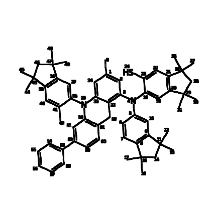 Cc1cc(N(c2ccc3c(c2)C(C)(C)CC3(C)C)c2cc3c(cc2S)C(C)(C)CC3(C)C)c2c(c1)N(c1cc3c(cc1C)C(C)(C)CC3(C)C)c1cc(-c3ccccc3)ccc1C2